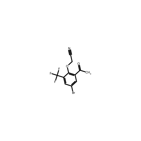 CC(=O)c1cc(Br)cc(C(F)(F)F)c1OCC#N